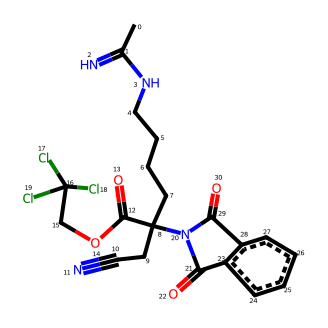 CC(=N)NCCCCC(CC#N)(C(=O)OCC(Cl)(Cl)Cl)N1C(=O)c2ccccc2C1=O